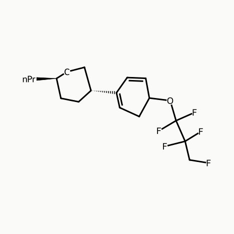 CCC[C@H]1CC[C@H](C2=CCC(OC(F)(F)C(F)(F)CF)C=C2)CC1